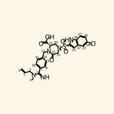 C=CCN(C)C(=N)c1ccc(CN2C(=O)CN(S(=O)(=O)c3cc4cc(Cl)ccc4[nH]3)C[C@@H]2C(=O)O)cc1